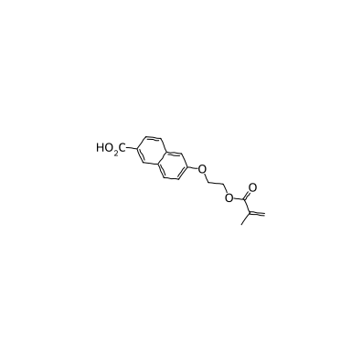 C=C(C)C(=O)OCCOc1ccc2cc(C(=O)O)ccc2c1